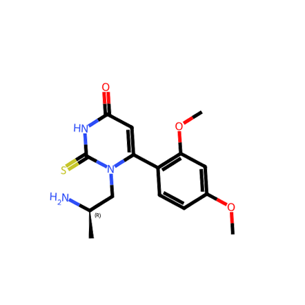 COc1ccc(-c2cc(=O)[nH]c(=S)n2C[C@@H](C)N)c(OC)c1